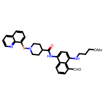 COCCCNc1ccc(NC(=O)C2CCN(Sc3cccc4cccnc34)CC2)c2cccc(C=O)c12